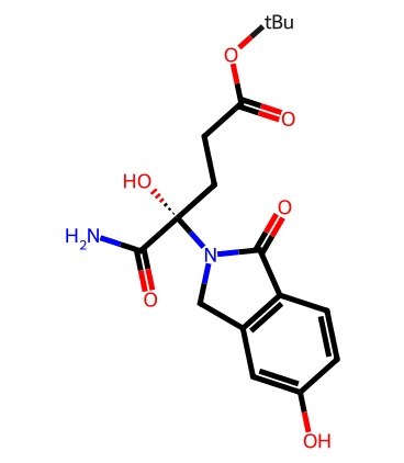 CC(C)(C)OC(=O)CC[C@](O)(C(N)=O)N1Cc2cc(O)ccc2C1=O